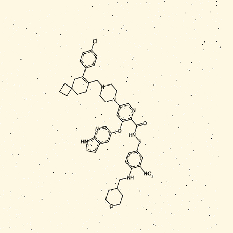 O=C(NSc1ccc(NCC2CCOCC2)c([N+](=O)[O-])c1)c1ncc(N2CCN(CC3=C(c4ccc(Cl)cc4)CC4(CCC4)CC3)CC2)cc1Oc1cnc2[nH]ccc2c1